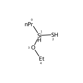 CCC[SiH](S)OCC